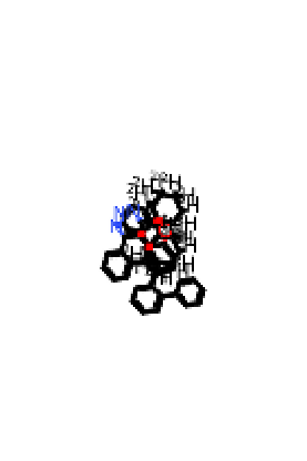 [2H]C1C([2H])([2H])C([2H])([2H])C([2H])([2H])C([2H])([2H])C1([2H])c1nnnc(-c2ccccc2-c2c(-c3ccccc3-c3ccccc3)ccc3oc4ccccc4c23)c1C1([2H])C([2H])C([2H])([2H])C([2H])([2H])C([2H])([2H])C1([2H])[2H]